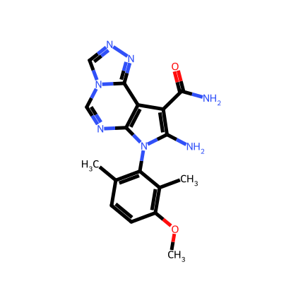 COc1ccc(C)c(-n2c(N)c(C(N)=O)c3c2ncn2cnnc32)c1C